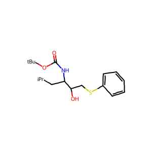 CC(C)CC(NC(=O)OC(C)(C)C)C(O)CSc1ccccc1